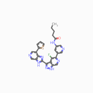 CCCCC(=O)Nc1cncc(-c2ncc3[nH]nc(-c4nc5c(-c6cccs6)cncc5[nH]4)c3c2F)c1